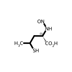 CC(S)C[C@H](NN=O)C(=O)O